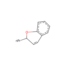 CCCC1C=Cc2ccccc2O1